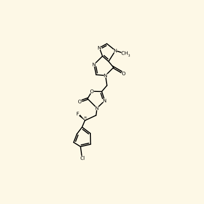 Cn1cnc2ncn(Cc3nn(C[C@H](F)c4ccc(Cl)cc4)c(=O)o3)c(=O)c21